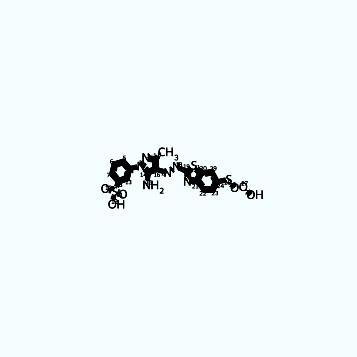 Cc1nn(-c2cccc(S(=O)(=O)O)c2)c(N)c1/N=N/c1nc2ccc(SOOO)cc2s1